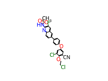 CS(=O)(=O)Nc1nc2ccc(-c3ccc(Oc4cc(Cl)c(OCCCl)c(C#N)c4)cc3)cc2cc1F